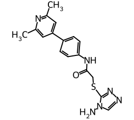 Cc1cc(-c2ccc(NC(=O)CSc3nncn3N)cc2)cc(C)n1